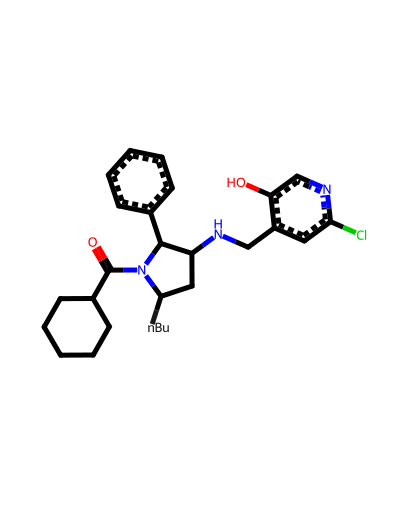 CCCCC1CC(NCc2cc(Cl)ncc2O)C(c2ccccc2)N1C(=O)C1CCCCC1